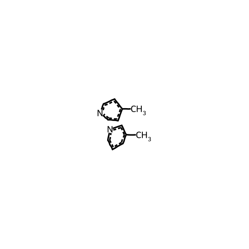 Cc1cccnc1.Cc1ccncc1